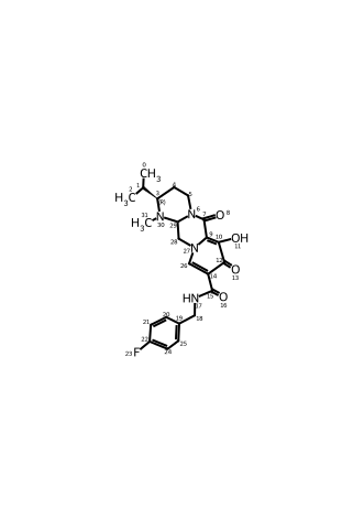 CC(C)[C@H]1CCN2C(=O)c3c(O)c(=O)c(C(=O)NCc4ccc(F)cc4)cn3CC2N1C